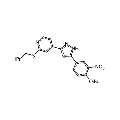 CC(C)COc1ccc(-c2nc(-c3ccnc(SCC(C)C)c3)n[nH]2)cc1[N+](=O)[O-]